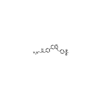 CS(=O)(=O)c1ccc(Cn2cnc3ccc(-c4ccc(CNCCN)cc4)cc32)cc1